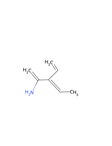 C=C/C(=C\C)C(=C)N